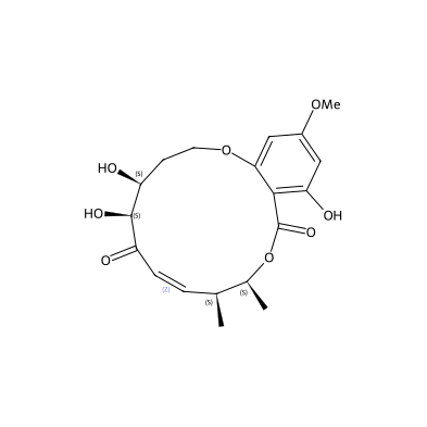 COc1cc(O)c2c(c1)OCC[C@H](O)[C@H](O)C(=O)/C=C\[C@H](C)[C@H](C)OC2=O